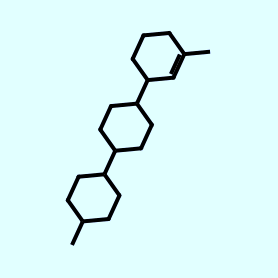 CC1=CC(C2CCC(C3CCC(C)CC3)CC2)CCC1